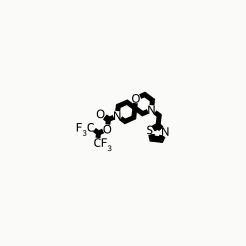 O=C(OC(C(F)(F)F)C(F)(F)F)N1CCC2(CC1)CN(Cc1nccs1)CCO2